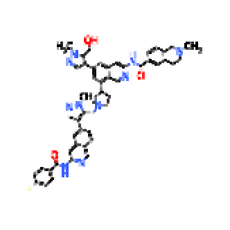 CN1CCc2cc(C(=O)Nc3cc4cc(-c5cnn(C)c5CO)cc(C5CCN(Cc6c(-c7ccc8cnc(NC(=O)c9ccc(F)cc9)cc8c7)cnn6C)C5)c4cn3)ccc2C1